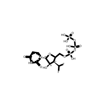 O=c1ccn([C@@H]2OC(COP(=O)(O)OP(=O)(O)OP(=O)(O)O)[C@@H](C(F)F)[C@H]2O)c(=O)[nH]1